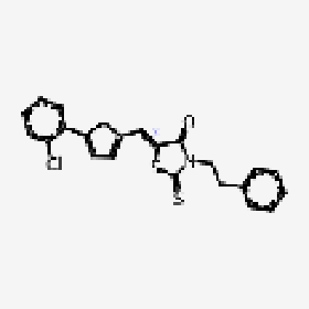 O=C1/C(=C/C2=CC=C(c3ccccc3Cl)C2)SC(=S)N1CCc1ccccc1